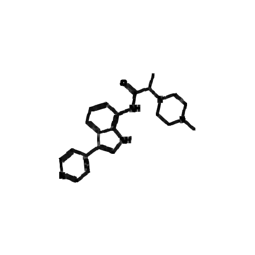 CC(C(=O)Nc1cccc2c(-c3ccncc3)c[nH]c12)N1CCN(C)CC1